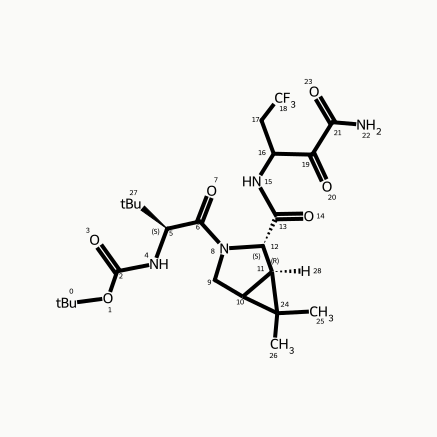 CC(C)(C)OC(=O)N[C@H](C(=O)N1CC2[C@@H]([C@H]1C(=O)NC(CC(F)(F)F)C(=O)C(N)=O)C2(C)C)C(C)(C)C